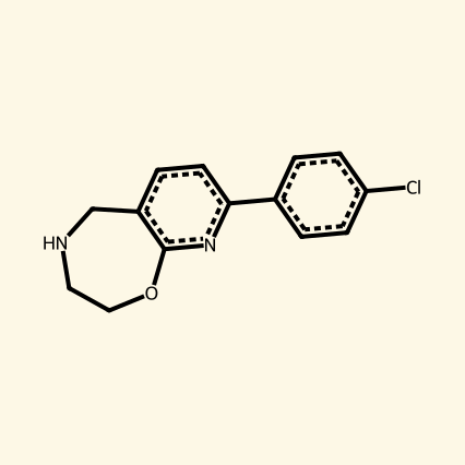 Clc1ccc(-c2ccc3c(n2)OCCNC3)cc1